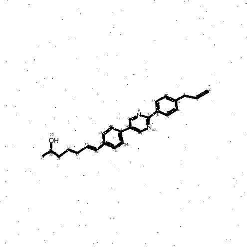 C=CCc1ccc(-c2ncc(-c3ccc(C=CCCCC(C)O)cc3)cn2)cc1